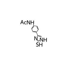 CC(=O)Nc1ccc(-c2c[nH]c(S)n2)cc1